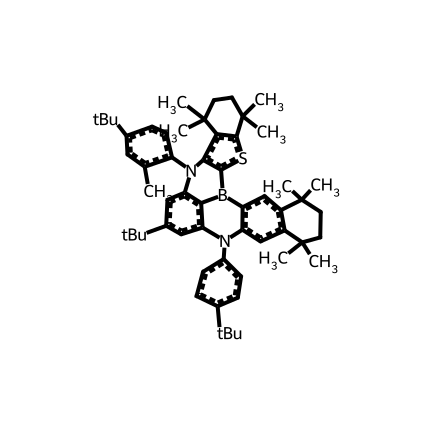 Cc1cc(C(C)(C)C)ccc1N1c2cc(C(C)(C)C)cc3c2B(c2cc4c(cc2N3c2ccc(C(C)(C)C)cc2)C(C)(C)CCC4(C)C)c2sc3c(c21)C(C)(C)CCC3(C)C